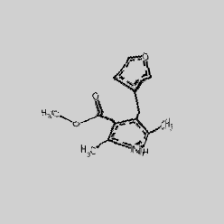 COC(=O)c1c(C)[nH]c(C)c1-c1ccoc1